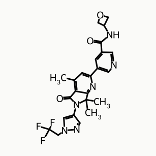 Cc1cc(-c2cncc(C(=O)NC3COC3)c2)nc2c1C(=O)N(c1cnn(CC(F)(F)F)c1)C2(C)C